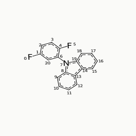 Fc1ccc(F)c(-n2c3ccccc3c3ccccc32)c1